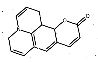 O=C1C=CC2=CC3=C4C(CC=CN4CC=C3)C2O1